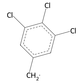 [CH2]c1cc(Cl)c(Cl)c(Cl)c1